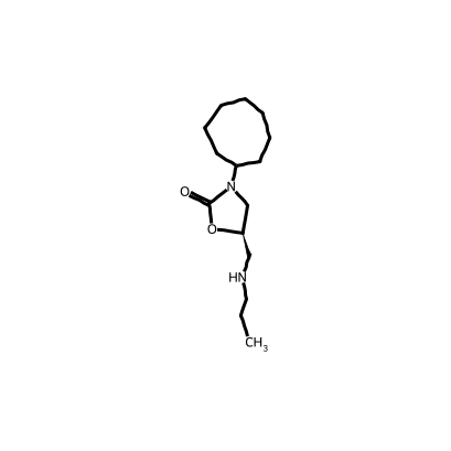 CCCNC[C@@H]1CN(C2CCCCCCC2)C(=O)O1